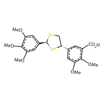 COc1cc([C@H]2SC[C@H](c3cc(OC)c(OC)c(C(=O)O)c3)S2)cc(OC)c1OC